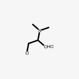 CN(C)C(Cl)CCl.Cl